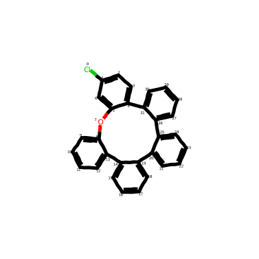 Clc1ccc2c(c1)Oc1ccccc1-c1ccccc1-c1ccccc1-c1ccccc1-2